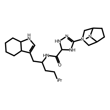 CC(C)CCC(CC1=CNC2CCCCC12)NC(=O)C1NN=C(N2CC3CCC(C2)N3C)N1